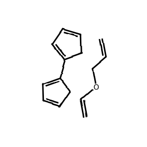 C1=CCC(C2=CC=CC2)=C1.C=CCOC=C